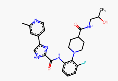 Cc1cc(-c2c[nH]c(C(=O)Nc3cccc(F)c3N3CCC(C(=O)NCC(O)C(F)(F)F)CC3)n2)ccn1